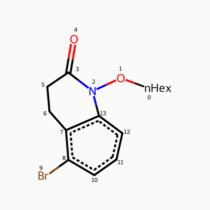 CCCCCCON1C(=O)CCc2c(Br)cccc21